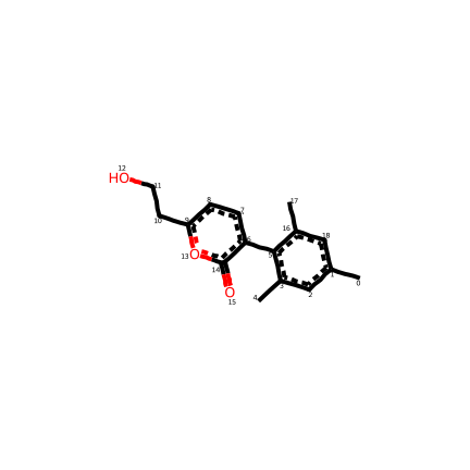 Cc1cc(C)c(-c2[c]cc(CCO)oc2=O)c(C)c1